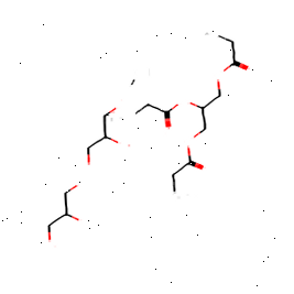 CC(=O)O.CCCCCCCCCCCC(=O)OCC(COC(=O)CCCCCCCCCCC)OC(=O)CCCCCCCCCCC.OCC(O)CO.OCC(O)CO